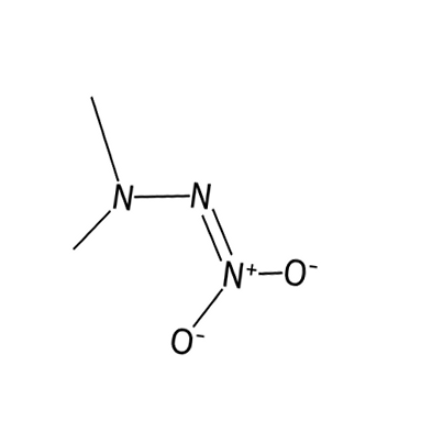 CN(C)N=[N+]([O-])[O-]